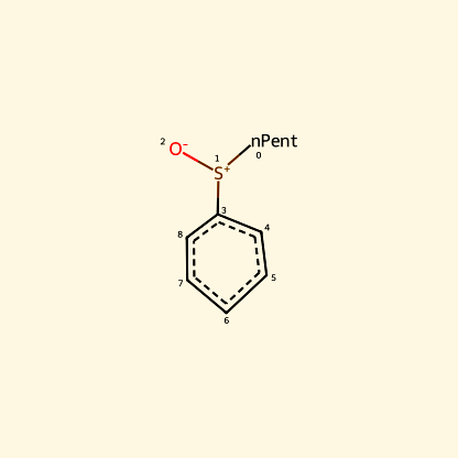 [CH2]CCCC[S+]([O-])c1ccccc1